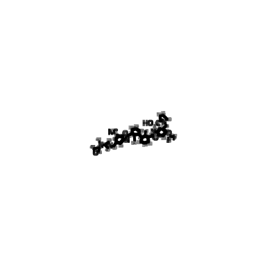 Cc1c(-c2nc3cc(CN4CCC[C@H]4C(=O)O)c(OC(F)F)cc3o2)cccc1-c1cccc(-c2nc3cc(CN4CC(N(C)C5COC5)C4)cc(C#N)c3o2)c1C